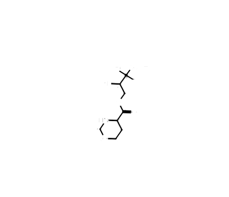 O=C(OCC(F)C(F)(F)S(=O)(=O)O)C1CCOCN1